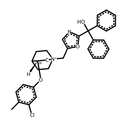 Cc1ccc(O[C@H]2C[N+]3(Cc4cnc(C(O)(c5ccccc5)c5ccccc5)o4)CCC2CC3)cc1Cl